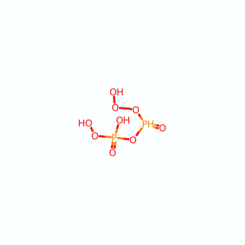 O=[PH](OOO)OP(=O)(O)OO